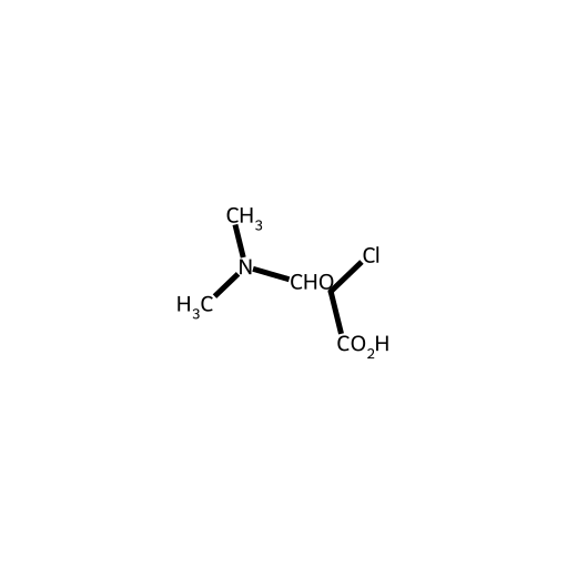 CN(C)C=O.O=C(O)CCl